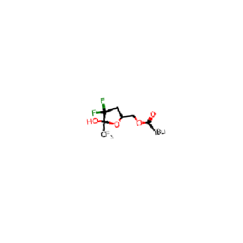 CCC(C)C(=O)OCC1CC(F)(F)C(O)(C(F)(F)F)O1